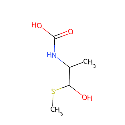 CSC(O)C(C)NC(=O)O